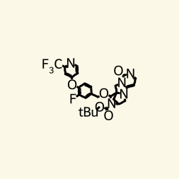 CC(C)(C)OC(=O)N1C2CN3c4ccnc(=O)n4CC3(C2)C1OCc1ccc(Oc2ccnc(C(F)(F)F)c2)c(F)c1